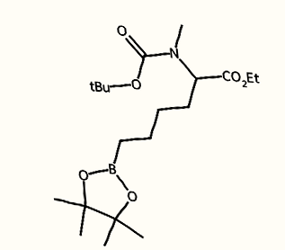 CCOC(=O)C(CCCCB1OC(C)(C)C(C)(C)O1)N(C)C(=O)OC(C)(C)C